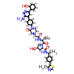 Cc1ncsc1-c1ccc([C@H](C)NC(=O)[C@@H]2C[C@@H](O)CN2C(=O)[C@@H](NC(=O)CN2CCN(c3ccc(-c4cc(-c5ccccc5O)nnc4N)cc3)C(=O)C2)C(C)(C)C)cc1